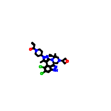 C=CC(=O)N1CCC(n2nc(N3CCN(C4COC4)C[C@]3(C)CC)c(-c3c(Cl)c(Cl)cc4[nH]ncc34)c2C)CC1